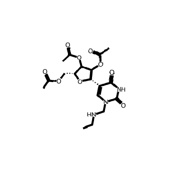 CCNCn1cc([C@@H]2O[C@H](COC(C)=O)C(OC(C)=O)C2OC(C)=O)c(=O)[nH]c1=O